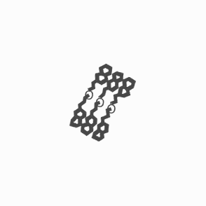 c1ccc2cc(CCCOCCCc3ccc4ccccc4c3)ccc2c1.c1ccc2cc(CCCOCCCc3ccc4ccccc4c3)ccc2c1.c1ccc2cc(CCCOCCCc3ccc4ccccc4c3)ccc2c1